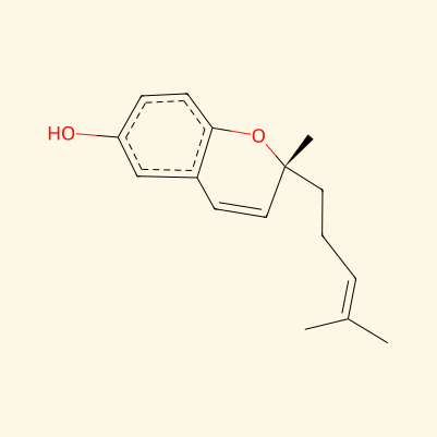 CC(C)=CCC[C@]1(C)C=Cc2cc(O)ccc2O1